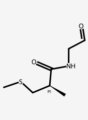 CSC[C@H](C)C(=O)NCC=O